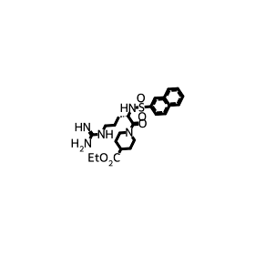 CCOC(=O)C1CCN(C(=O)[C@H](CCCNC(=N)N)NS(=O)(=O)c2ccc3ccccc3c2)CC1